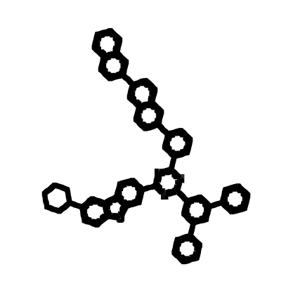 c1ccc(-c2cc(-c3ccccc3)cc(-c3nc(-c4cccc(-c5ccc6cc(-c7ccc8ccccc8c7)ccc6c5)c4)nc(-c4ccc5c(c4)oc4ccc(C6CCCCC6)cc45)n3)c2)cc1